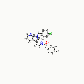 C[C@H]1CC[C@H](CC(=O)N2CCc3c(n(Cc4ccc(Cl)cc4)c4ncccc34)C2)CC1